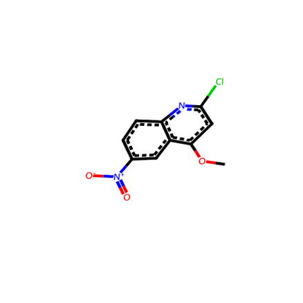 COc1cc(Cl)nc2ccc([N+](=O)[O-])cc12